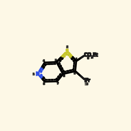 CCOC(=O)c1sc2cnccc2c1C(C)C